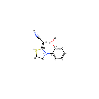 COc1ccccc1N1CCSC1=CC#N